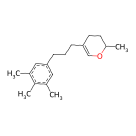 Cc1cc(CCCC2=COC(C)CC2)cc(C)c1C